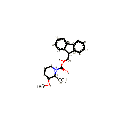 CC(C)(C)OC1CCCN(C(=O)OCC2c3ccccc3-c3ccccc32)C1C(=O)O